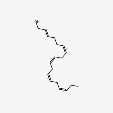 CC/C=C\C/C=C\C/C=C\C/C=C\CC/C=C/CO